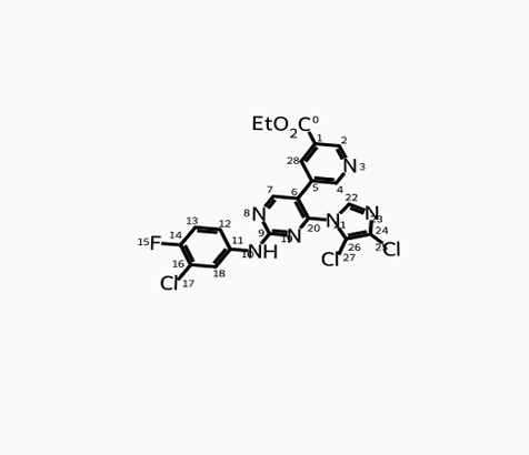 CCOC(=O)c1cncc(-c2cnc(Nc3ccc(F)c(Cl)c3)nc2-n2cnc(Cl)c2Cl)c1